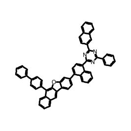 c1ccc(-c2ccc(-c3c4ccccc4cc4c3oc3cc(-c5ccc(-c6nc(-c7ccccc7)nc(-c7ccc8ccccc8c7)n6)c6ccccc56)ccc34)cc2)cc1